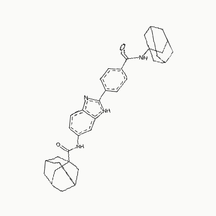 O=C(NC12CC3CC(CC(C3)C1)C2)c1ccc(-c2nc3ccc(NC(=O)C45CC6CC(CC(C6)C4)C5)cc3[nH]2)cc1